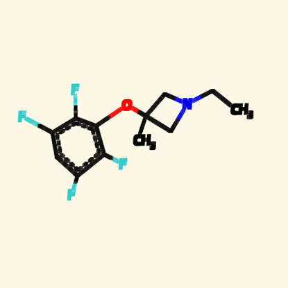 CCN1CC(C)(Oc2c(F)c(F)cc(F)c2F)C1